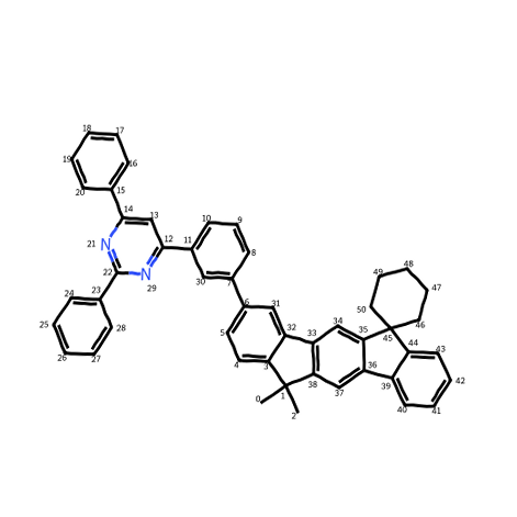 CC1(C)c2ccc(-c3cccc(-c4cc(-c5ccccc5)nc(-c5ccccc5)n4)c3)cc2-c2cc3c(cc21)-c1ccccc1C31CCCCC1